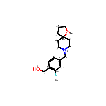 OCc1ccc(CN2CCC3(CCCO3)CC2)cc1F